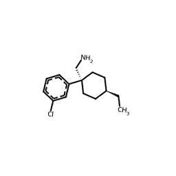 CC[C@H]1CC[C@@](CN)(c2cccc(Cl)c2)CC1